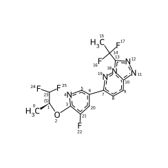 C[C@H](Oc1ncc(-c2ccc3nnc(C(C)(F)F)n3n2)cc1F)C(F)F